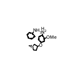 COc1cc(OC2CCN(C)C2)ccc1N.Nc1ccccc1